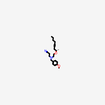 CCCCC#CC[C@H](C)OCCN(CCC#N)Cc1ccc(OC)cc1